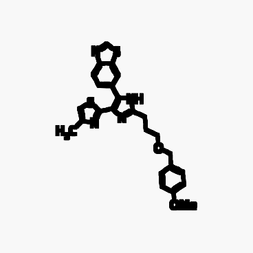 COc1ccc(COCCCc2nc(-c3nc(C)cs3)c(-c3ccc4ncsc4c3)[nH]2)cc1